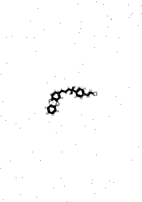 CC(C)(CCCc1ccc(F)c(Oc2ccccc2)c1)c1ccc(/C=C/Cl)cc1